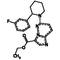 CCOC(=O)c1cnc2ccc(N3CCCCC3c3cccc(F)c3)nn12